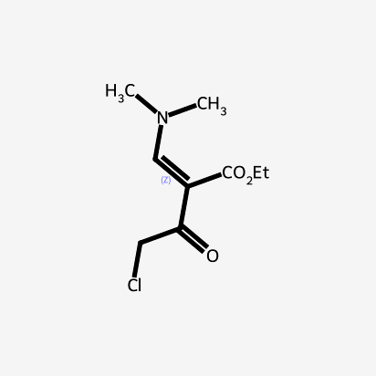 CCOC(=O)/C(=C\N(C)C)C(=O)CCl